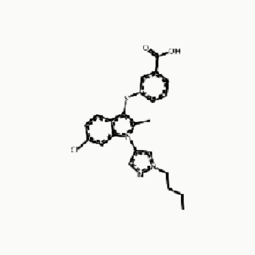 CCCCn1cc(-n2c(C)c(Sc3cccc(C(=O)O)c3)c3ccc(Cl)cc32)cn1